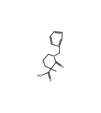 CC1(C(=O)O)CCCN(Cc2ccccc2)C1=O